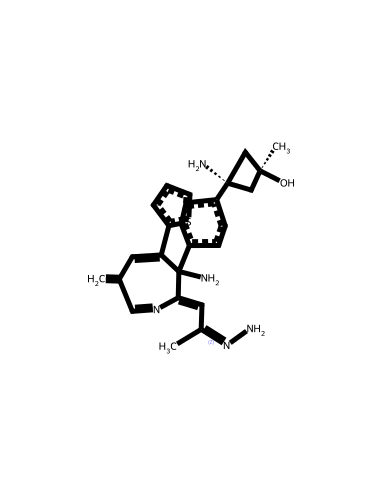 C=C1C=NC(=C/C(C)=N\N)C(N)(c2ccc([C@]3(N)C[C@](C)(O)C3)cc2)C(c2cccs2)=C1